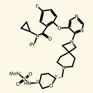 CNS(=O)(=O)N[C@H]1CC[C@H](CN2CCC3(CC2)CN(c2ncncc2Oc2ccc(F)cc2C(=O)N(C(C)C)C2CC2)C3)OC1